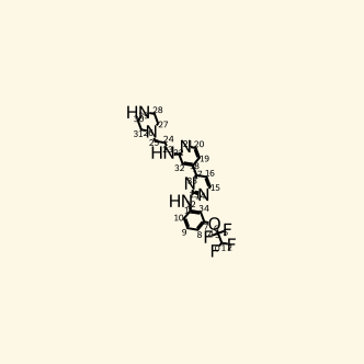 FC(F)C(F)(F)Oc1cccc(Nc2nccc(-c3ccnc(NCCN4CCNCC4)c3)n2)c1